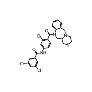 O=C(Nc1ccc(C(=O)N2CC3CSCCN3Cc3ccccc32)c(Cl)c1)c1cc(Cl)cc(Cl)c1